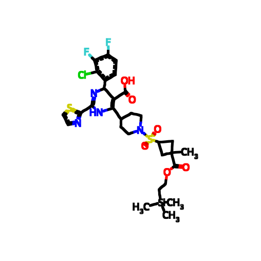 CC1(C(=O)OCC[Si](C)(C)C)CC(S(=O)(=O)N2CCC(C3=C(C(=O)O)C(c4ccc(F)c(F)c4Cl)N=C(c4nccs4)N3)CC2)C1